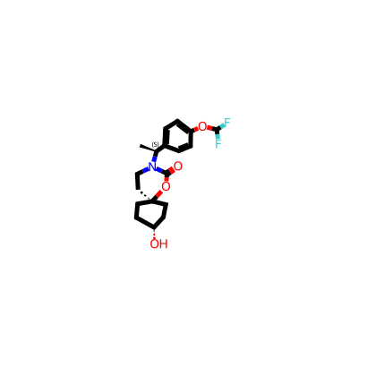 C[C@@H](c1ccc(OC(F)F)cc1)N1CC[C@]2(CC[C@@H](O)CC2)OC1=O